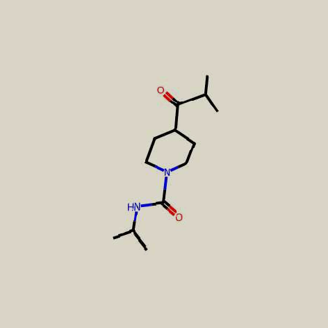 CC(C)NC(=O)N1CCC(C(=O)C(C)C)CC1